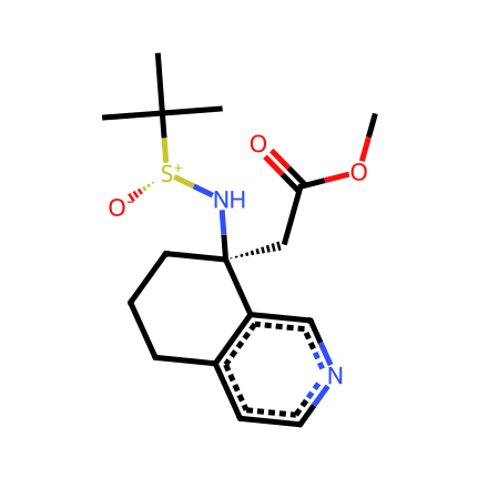 COC(=O)C[C@@]1(N[S@+]([O-])C(C)(C)C)CCCc2ccncc21